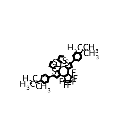 CC(C)(C)c1ccc(-c2cc3c(s2)C(c2cccs2)(c2cccs2)c2sc(-c4ccc(C(C)(C)C)cc4)cc2C2=C3C(F)(F)C(F)(F)C2(F)F)cc1